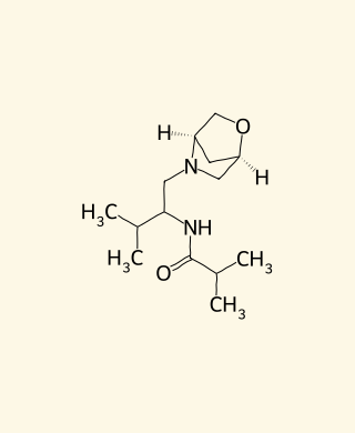 CC(C)C(=O)NC(CN1C[C@H]2C[C@@H]1CO2)C(C)C